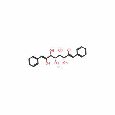 OC(=Cc1ccccc1)[C@@H](O)[C@@H](O)[C@H](O)[C@@H](O)C(O)=Cc1ccccc1.[Ca]